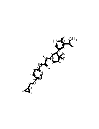 CC(N)c1cc(C2CN([C@@H](C)C(=O)Nc3ccc(OCC4CC4)nn3)CCC2(F)F)c[nH]c1=O